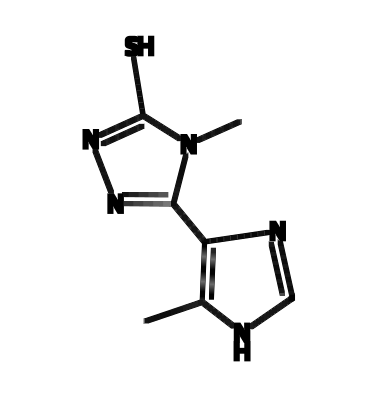 Cc1[nH]cnc1-c1nnc(S)n1C